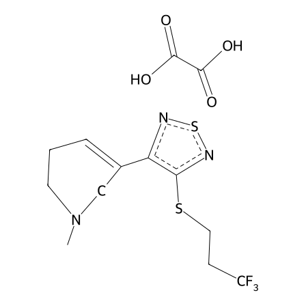 CN1CCC=C(c2nsnc2SCCC(F)(F)F)C1.O=C(O)C(=O)O